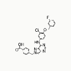 O=C(O)c1ccc(Cn2cc3ncnc(Nc4ccc(OCc5cccc(F)c5)c(Cl)c4)c3n2)cc1